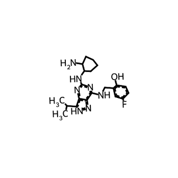 CC(C)c1[nH]nc2c(NCc3cc(F)ccc3O)nc(NC3CCCCC3N)nc12